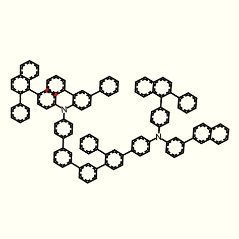 c1ccc(-c2ccc(N(c3ccc(-c4cccc(-c5cccc(-c6ccc(-c7ccc(N(c8ccc(-c9c(-c%10ccccc%10)ccc%10ccccc9%10)cc8)c8cccc(-c9ccc%10ccccc%10c9)c8)cc7)cc6-c6ccccc6)c5)c4)cc3)c3ccc(-c4c(-c5ccccc5)ccc5ccccc45)cc3)c(-c3ccccc3)c2)cc1